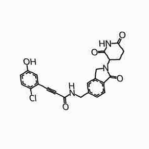 O=C(C#Cc1cc(O)ccc1Cl)NCc1ccc2c(c1)CN(C1CCC(=O)NC1=O)C2=O